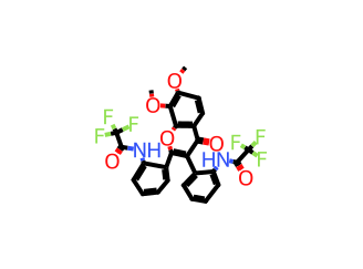 COc1ccc2c(=O)c(-c3ccccc3NC(=O)C(F)(F)F)c(-c3ccccc3NC(=O)C(F)(F)F)oc2c1OC